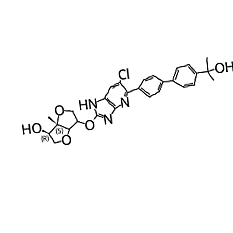 CC(C)(O)c1ccc(-c2ccc(-c3nc4nc(OC5CO[C@]6(C)C5OC[C@H]6O)[nH]c4cc3Cl)cc2)cc1